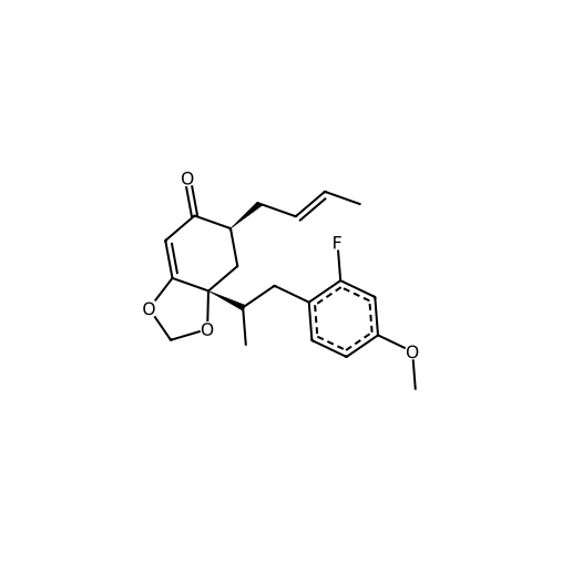 CC=CC[C@H]1C[C@]2(C(C)Cc3ccc(OC)cc3F)OCOC2=CC1=O